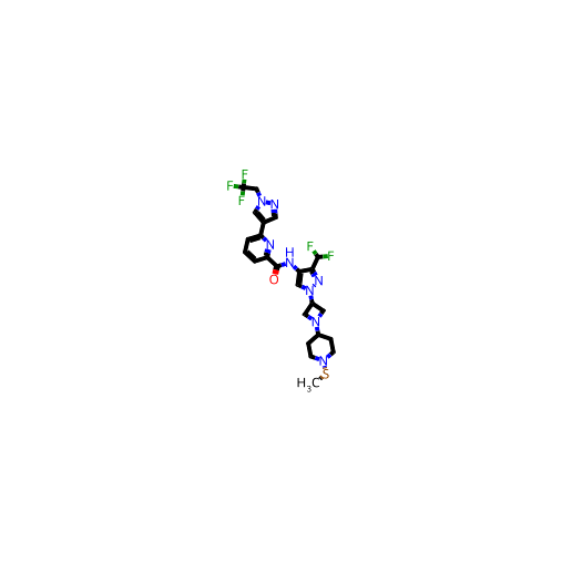 CSN1CCC(N2CC(n3cc(NC(=O)c4cccc(-c5cnn(CC(F)(F)F)c5)n4)c(C(F)F)n3)C2)CC1